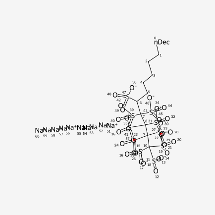 CCCCCCCCCCCCCCCC(C(C(C(C(S(=O)(=O)[O-])(S(=O)(=O)[O-])S(=O)(=O)[O-])(S(=O)(=O)[O-])S(=O)(=O)[O-])(S(=O)(=O)[O-])S(=O)(=O)[O-])(S(=O)(=O)[O-])S(=O)(=O)[O-])S(=O)(=O)[O-].[Na+].[Na+].[Na+].[Na+].[Na+].[Na+].[Na+].[Na+].[Na+].[Na+]